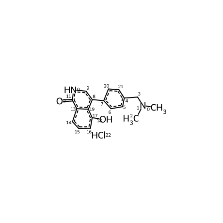 CN(C)Cc1ccc(-c2c[nH]c(=O)c3cccc(O)c23)cc1.Cl